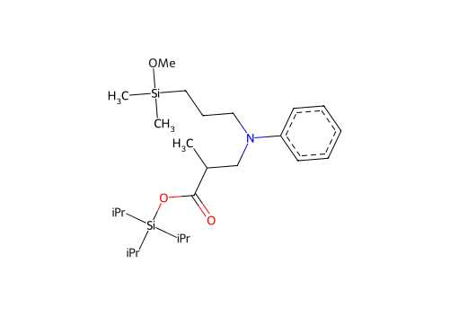 CO[Si](C)(C)CCCN(CC(C)C(=O)O[Si](C(C)C)(C(C)C)C(C)C)c1ccccc1